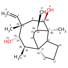 C=C[C@]1(C)C[C@@H](O)[C@@]2(C)C3CCC[C@@]3(CC[C@H]2C)[C@@H](C)[C@@H]1O